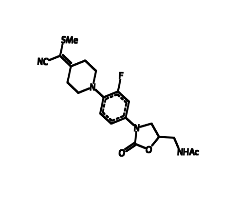 CSC(C#N)=C1CCN(c2ccc(N3CC(CNC(C)=O)OC3=O)cc2F)CC1